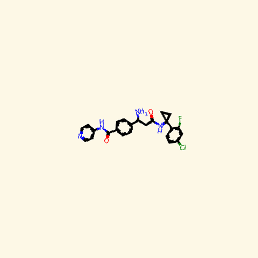 NC(CC(=O)NC1(c2ccc(Cl)cc2F)CC1)c1ccc(C(=O)Nc2ccncc2)cc1